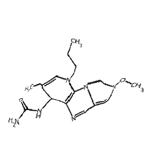 CCCN1C=C(C)C(NC(N)=O)C2=C1N1CN(OC)C=C1C=N2